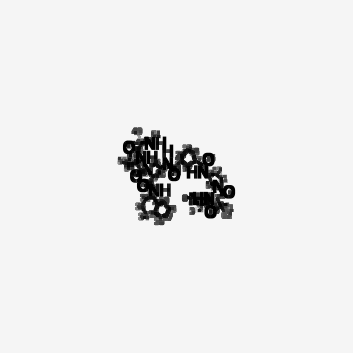 CN[C@@H](C)C(=O)N[C@H](C(=O)N1CC[C@H](NC(=O)c2cccc(C(=O)N[C@H]3C[C@@H](C(=O)N[C@@H]4CCCc5ccccc54)N(C(=O)[C@@H](NC(=O)[C@H](C)NC)C(C)(C)C)C3)c2)C1)C(C)(C)C